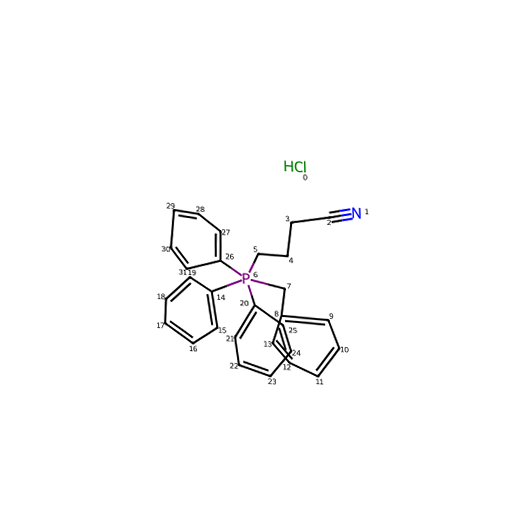 Cl.N#CCCCP(Cc1ccccc1)(c1ccccc1)(c1ccccc1)c1ccccc1